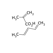 C=C(C)C(=O)O.C=CC=CC